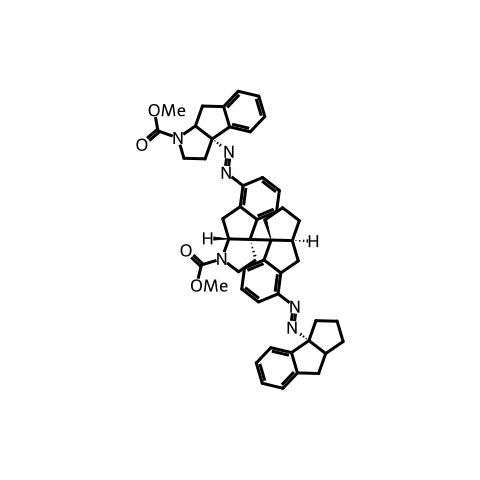 COC(=O)N1CC[C@]2(/N=N/c3cccc4c3C[C@H]3N(C(=O)OC)CC[C@@]43[C@]34CCC[C@H]3Cc3c(/N=N/[C@]56CCCC5Cc5ccccc56)cccc34)c3ccccc3CC12